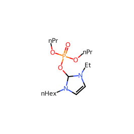 CCCCCCN1C=CN(CC)C1OP(=O)(OCCC)OCCC